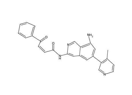 Cc1ccncc1-c1cc(N)c2cnc(NC(=O)/C=C\C(=O)c3ccccc3)cc2c1